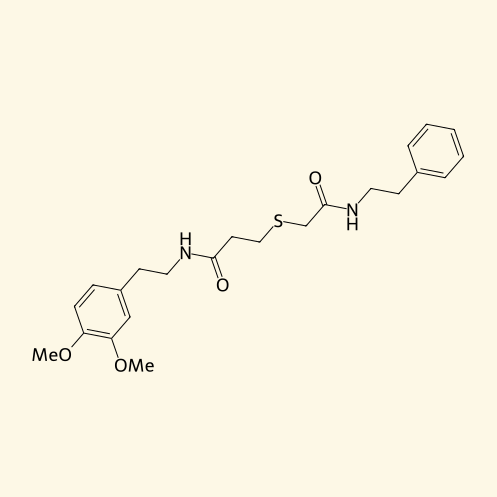 COc1ccc(CCNC(=O)CCSCC(=O)NCCc2ccccc2)cc1OC